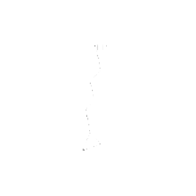 CC(=O)NCCOCC1CC1